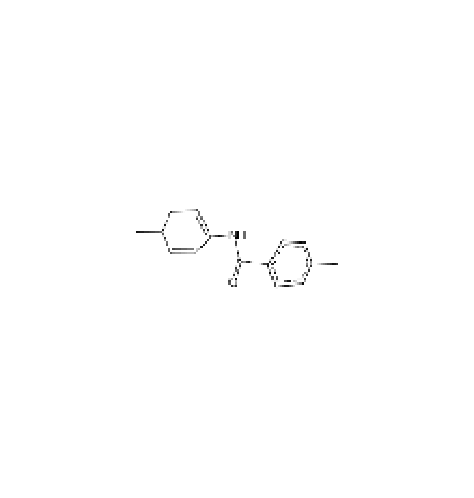 Cc1ccc(C(=O)NC2=CCC(C)C=C2)cc1